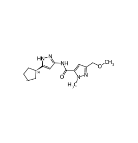 COCc1cc(C(=O)Nc2cc([C@H]3C[CH]CC3)[nH]n2)n(C)n1